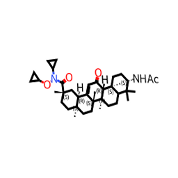 CC(=O)N[C@H]1CC[C@@]2(C)C(CC[C@]3(C)[C@@H]2C(=O)C=C2[C@@H]4C[C@@](C)(C(=O)N(OC5CC5)C5CC5)CC[C@]4(C)CC[C@]23C)C1(C)C